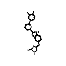 Cc1ccc(-c2cccc(-c3nc4cc(C=C5CNC(=S)S5)ccc4[nH]3)n2)cc1C